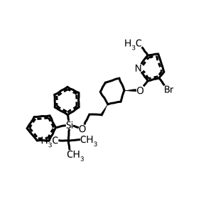 Cc1ccc(Br)c(O[C@@H]2CCC[C@H](CCO[Si](c3ccccc3)(c3ccccc3)C(C)(C)C)C2)n1